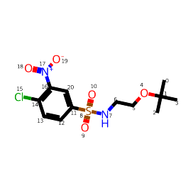 CC(C)(C)OCCNS(=O)(=O)c1ccc(Cl)c([N+](=O)[O-])c1